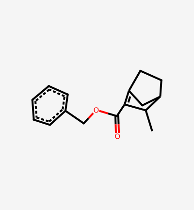 CC1C(C(=O)OCc2ccccc2)=C2CCC1C2